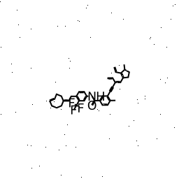 C=CC1=C(/C=C(/C#Cc2cc(C(=O)Nc3ccc(C/C=C4\CC/C=C/CCC4)c(C(F)(F)F)c3)ccc2C)C=C)CCC1C